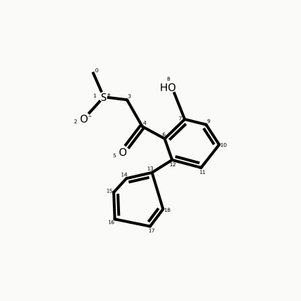 C[S+]([O-])CC(=O)c1c(O)cccc1-c1ccccc1